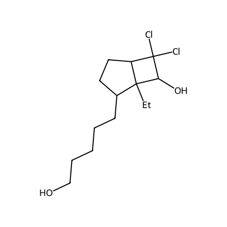 CCC12C(CCCCCO)CCC1C(Cl)(Cl)C2O